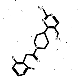 Cc1ncc(CN)c(C2CCN(C(=O)Cc3c(F)cccc3F)CC2)n1